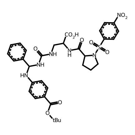 CC(C)(C)OC(=O)c1ccc(NC(NC(=O)NCC(NC(=O)C2CCCN2S(=O)(=O)c2ccc([N+](=O)[O-])cc2)C(=O)O)c2ccccc2)cc1